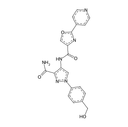 NC(=O)c1nn(-c2ccc(CO)cc2)cc1NC(=O)c1coc(-c2ccncc2)n1